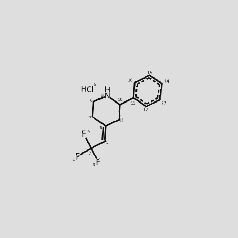 Cl.FC(F)(F)C=C1CCNC(c2ccccc2)C1